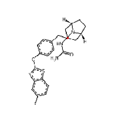 NC(=O)NC1C[C@H]2CC[C@@H](C1)N2CCc1ccc(Oc2nc3cc(F)ccc3s2)cc1